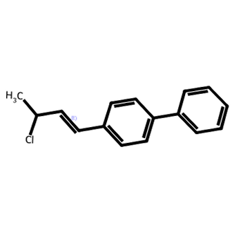 CC(Cl)/C=C/c1ccc(-c2ccccc2)cc1